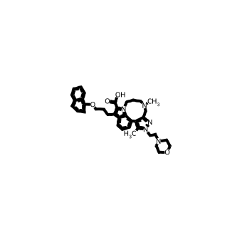 Cc1c2c(nn1CCN1CCOCC1)CN(C)CCCn1c(C(=O)O)c(CCCOc3cccc4ccccc34)c3cccc-2c31